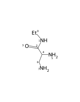 CCNC(=O)C(N)CN